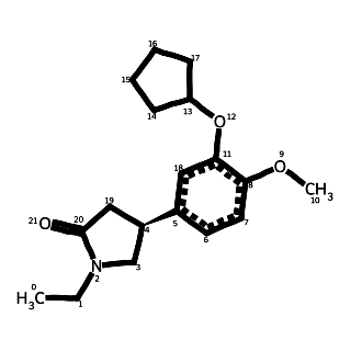 CCN1C[C@H](c2ccc(OC)c(OC3CCCC3)c2)CC1=O